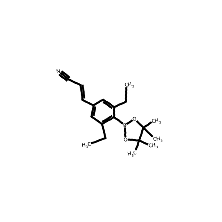 CCc1cc(C=CC#N)cc(CC)c1B1OC(C)(C)C(C)(C)O1